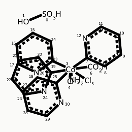 O=S(=O)(O)O.[NH2][Co]([Cl])([Cl])([C](=O)O)([c]1ccccn1)([c]1ccccn1)([c]1ccccn1)[c]1ccccn1